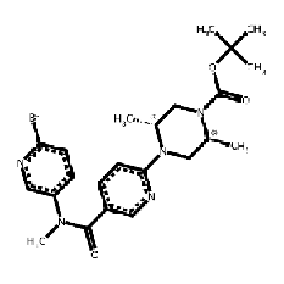 C[C@@H]1CN(C(=O)OC(C)(C)C)[C@@H](C)CN1c1ccc(C(=O)N(C)c2ccc(Br)nc2)cn1